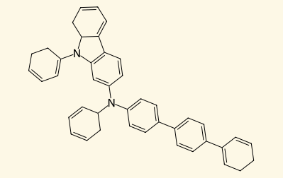 C1=CCCC(N2c3cc(N(c4ccc(-c5ccc(C6=CCCC=C6)cc5)cc4)C4C=CC=CC4)ccc3C3=CC=CCC32)=C1